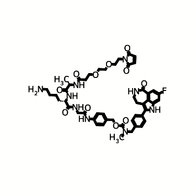 C[C@H](NC(=O)CCOCCOCCN1C(=O)C=CC1=O)C(=O)N[C@@H](CCCCN)C(=O)NCC(=O)Nc1ccc(COC(=O)N(C)Cc2ccc(-c3[nH]c4cc(F)cc5c4c3CCNC5=O)cc2)cc1